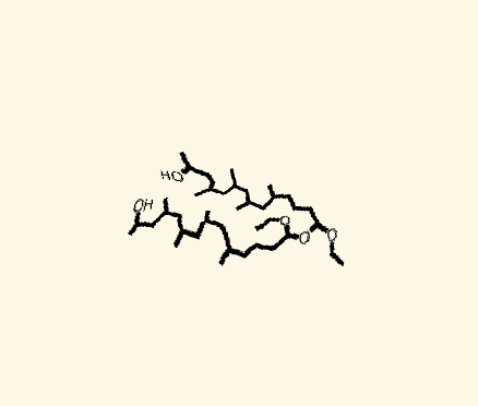 CCOC(CCCC(C)CC(C)CC(C)CC(C)CC(C)O)OC(CCCC(C)CC(C)CC(C)CC(C)CC(C)O)OCC